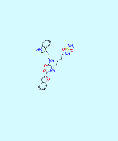 NS(=O)(=O)NCCCC[C@H](NC(=O)c1cc2ccccc2o1)C(=O)NCCc1c[nH]c2ccccc12